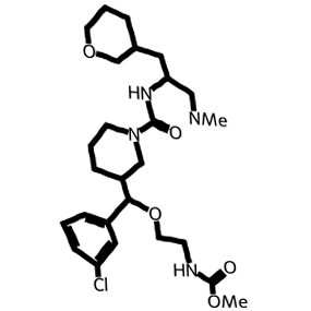 CNCC(CC1CCCOC1)NC(=O)N1CCCC(C(OCCNC(=O)OC)c2cccc(Cl)c2)C1